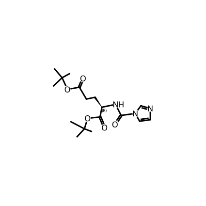 CC(C)(C)OC(=O)CC[C@@H](NC(=O)n1ccnc1)C(=O)OC(C)(C)C